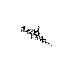 CN1CC2(C1)CN(c1cc(C#N)cc(Nc3nc(NC4CC4)c[nH]3)c1Cl)C2